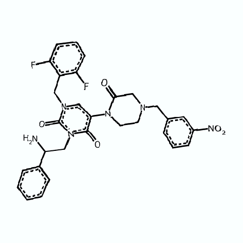 NC(Cn1c(=O)c(N2CCN(Cc3cccc([N+](=O)[O-])c3)CC2=O)cn(Cc2c(F)cccc2F)c1=O)c1ccccc1